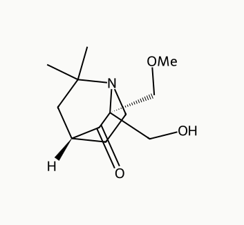 COC[C@]1(CO)C(=O)[C@@H]2CCN1C(C)(C)C2